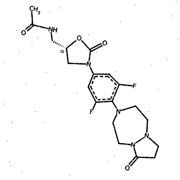 CC(=O)NC[C@H]1CN(c2cc(F)c(N3CCN4CCC(=O)N4CC3)c(F)c2)C(=O)O1